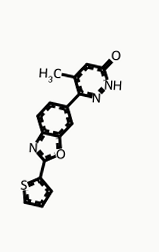 Cc1cc(=O)[nH]nc1-c1ccc2nc(-c3cccs3)oc2c1